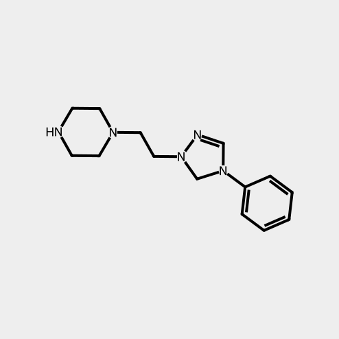 C1=NN(CCN2CCNCC2)CN1c1ccccc1